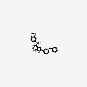 C1=C(c2cc3c(Nc4ccc5scnc5c4)ncnc3s2)CN(Cc2ccccc2)CC1